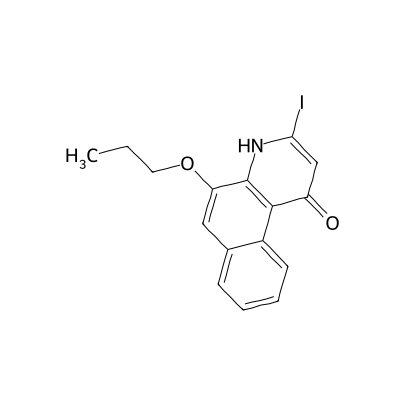 CCCOc1cc2ccccc2c2c(=O)cc(I)[nH]c12